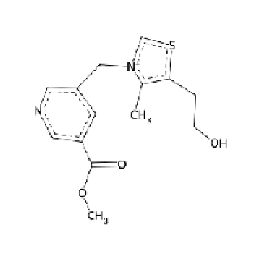 COC(=O)c1cncc(C[n+]2csc(CCO)c2C)c1